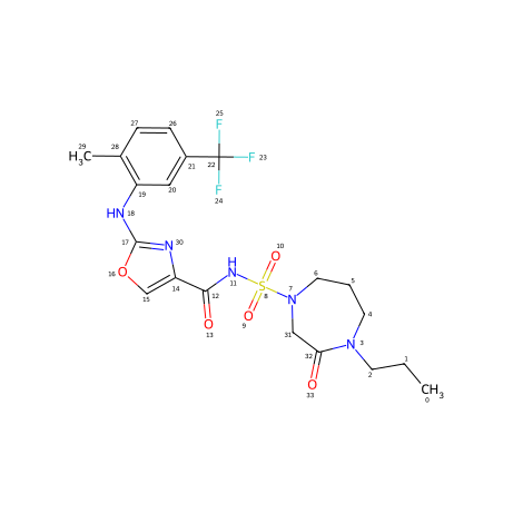 CCCN1CCCN(S(=O)(=O)NC(=O)c2coc(Nc3cc(C(F)(F)F)ccc3C)n2)CC1=O